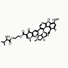 CNc1cc(F)c(C#N)c2c1[nH]c1ncc(-c3cnc4c(c3)c(=O)c(C(=O)OCCOC(=O)C(N)C(C)C)cn4C)c(N3CC[C@H]4CN(C)CC43)c12